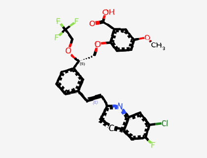 COc1ccc(OC[C@@H](OCC(F)(F)F)c2cccc(/C=C/c3ccc4cc(F)c(Cl)cc4n3)c2)c(C(=O)O)c1